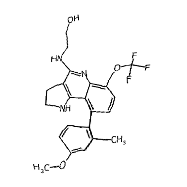 COc1ccc(-c2ccc(OC(F)(F)F)c3nc(NCCO)c4c(c23)NCC4)c(C)c1